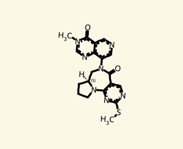 CSc1ncc2c(n1)N1CCC[C@H]1CN(c1cncc3c(=O)n(C)cnc13)C2=O